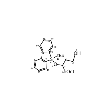 CCCCCCCCC(CCO)O[Si](c1ccccc1)(c1ccccc1)C(C)(C)C